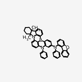 CC12CCCCC1(C)N1c3cccc4c3B(c3ccc(N(c5ccccc5)c5cccc6oc7ccccc7c56)cc3N4c3ccccc3)c3cccc2c31